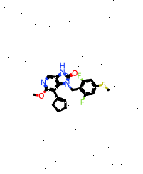 COc1ncc2[nH]c(=O)n(Cc3c(F)cc(SC)cc3F)c2c1C1=CCCC1